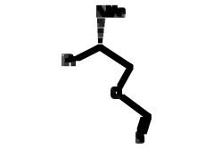 CN[C@H](COC=S)C(C)C